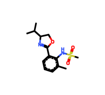 Cc1cccc(C2=NC(C(C)C)CO2)c1NS(C)(=O)=O